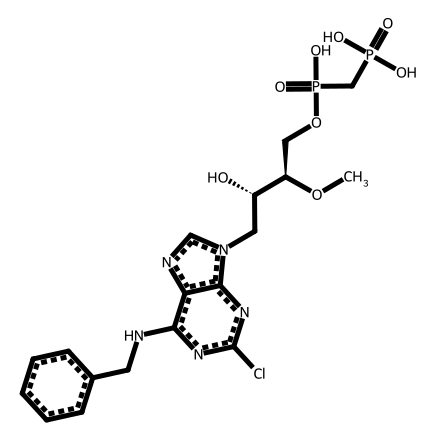 CO[C@H](COP(=O)(O)CP(=O)(O)O)[C@@H](O)Cn1cnc2c(NCc3ccccc3)nc(Cl)nc21